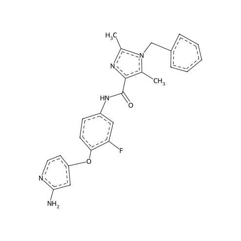 Cc1nc(C(=O)Nc2ccc(Oc3ccnc(N)c3)c(F)c2)c(C)n1Cc1ccccc1